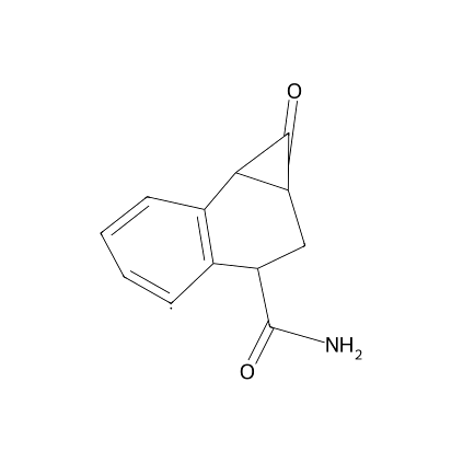 NC(=O)C1CC2C(=O)C2c2ccc[c]c21